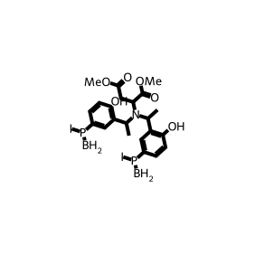 BP(I)c1ccc(O)c(C(C)N(C(CC(=O)OC)C(=O)OC)C(C)c2cc(P(B)I)ccc2O)c1